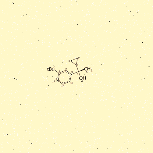 CC(C)(C)c1cc([C@@](C)(O)C2CC2)ccn1